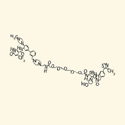 Cc1ncsc1-c1ccc(CNC(=O)[C@@H]2C[C@@H](O)CN2C(=O)[C@@H](NC(=O)COCCOCCOCCOCCOCC(=O)NCCN2CCN(Cc3cccc(-c4ccc(N5CCN(C)CC5)c(NC(=O)c5c[nH]c(=O)cc5C(F)(F)F)c4)c3)CC2)C(C)(C)C)cc1